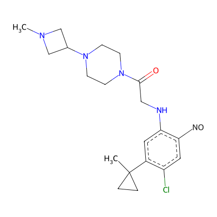 CN1CC(N2CCN(C(=O)CNc3cc(C4(C)CC4)c(Cl)cc3N=O)CC2)C1